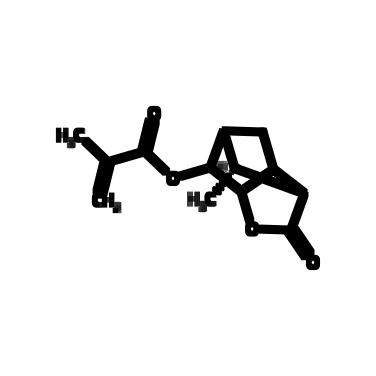 C=C(C)C(=O)OC1C2OC(=O)C3C2CC1[C@H]3C